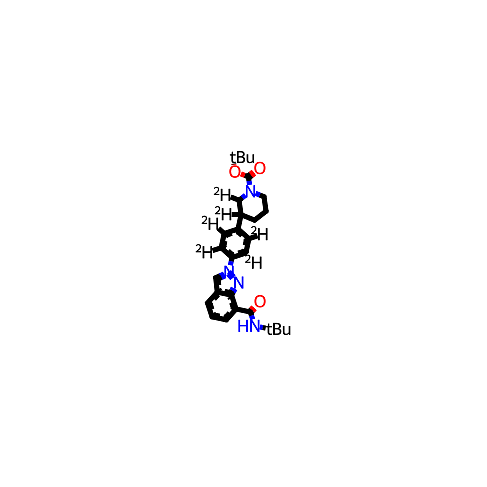 [2H]c1c([2H])c(C2([2H])CCCN(C(=O)OC(C)(C)C)C2[2H])c([2H])c([2H])c1-n1cc2cccc(C(=O)NC(C)(C)C)c2n1